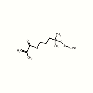 C=C(C)C(=O)OCCC[N+](C)(C)OSOC